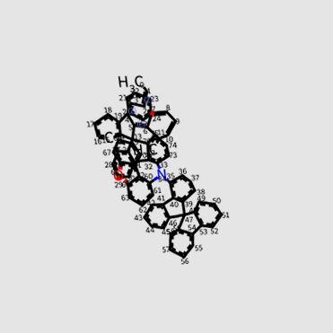 C\C=C/C=C\C(=C1/C=CC=CC1C)C1(c2ccccc2-c2ccccc2)c2ccccc2-c2c(N(c3cccc4c3-c3ccccc3C43c4ccccc4-c4ccccc43)c3cccc4oc5ccccc5c34)cccc21